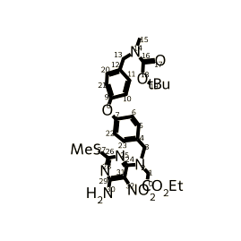 CCOC(=O)CN(Cc1ccc(Oc2ccc(CN(C)C(=O)OC(C)(C)C)cc2)cc1)c1nc(SC)nc(N)c1[N+](=O)[O-]